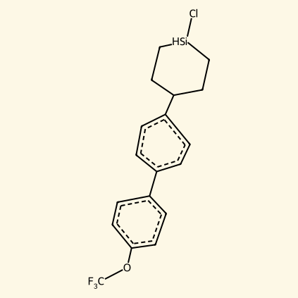 FC(F)(F)Oc1ccc(-c2ccc(C3CC[SiH](Cl)CC3)cc2)cc1